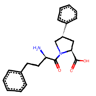 N[C@H](CCc1ccccc1)C(=O)N1C[C@H](c2ccccc2)C[C@H]1C(=O)O